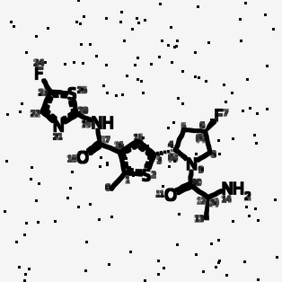 Cc1sc([C@@H]2C[C@@H](F)CN2C(=O)[C@H](C)N)cc1C(=O)Nc1ncc(F)s1